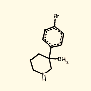 BC1(c2ccc(Br)cc2)CCCNC1